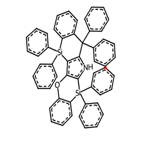 c1ccc(C2(c3ccccc3)c3ccccc3[Si](c3ccccc3)(c3ccccc3)c3c2[nH]c2c3Oc3ccccc3[Si]2(c2ccccc2)c2ccccc2)cc1